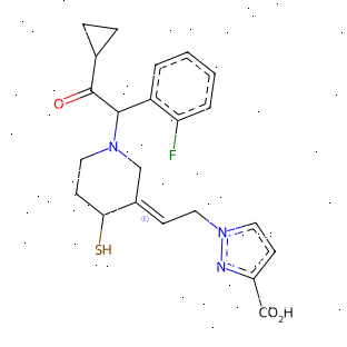 O=C(O)c1ccn(C/C=C2\CN(C(C(=O)C3CC3)c3ccccc3F)CCC2S)n1